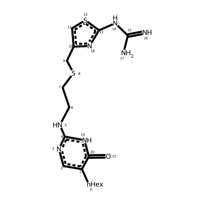 CCCCCCc1cnc(NCCSCc2csc(NC(=N)N)n2)[nH]c1=O